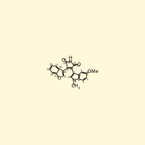 COc1ccc2c(c1)c(C1=C(c3coc4ccccc34)C(=O)NC1=O)cn2C